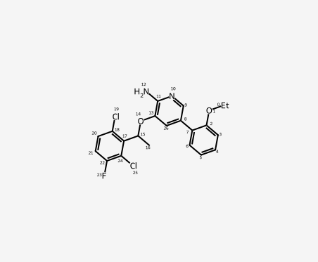 CCOc1ccccc1-c1cnc(N)c(OC(C)c2c(Cl)ccc(F)c2Cl)c1